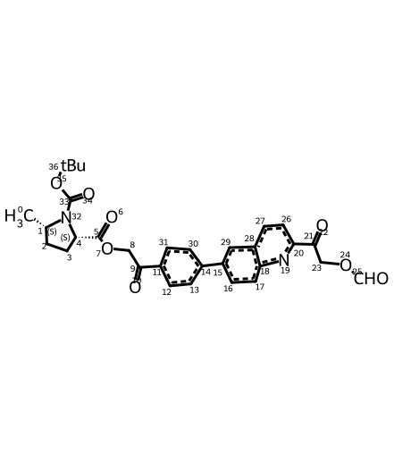 C[C@H]1CC[C@@H](C(=O)OCC(=O)c2ccc(-c3ccc4nc(C(=O)COC=O)ccc4c3)cc2)N1C(=O)OC(C)(C)C